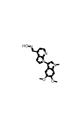 COc1cc2c(-n3ccc4c(C=NO)ccnc43)cn(C)c2cc1OC